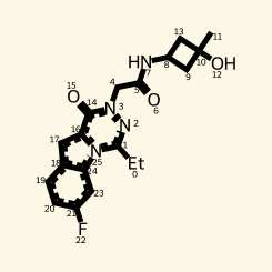 CCc1nn(CC(=O)NC2CC(C)(O)C2)c(=O)c2cc3ccc(F)cc3n12